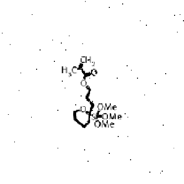 C=C(C)C(=O)OCCCC1([Si](OC)(OC)OC)CCCCO1